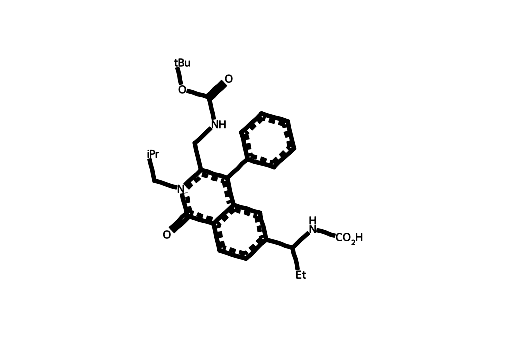 CCC(NC(=O)O)c1ccc2c(=O)n(CC(C)C)c(CNC(=O)OC(C)(C)C)c(-c3ccccc3)c2c1